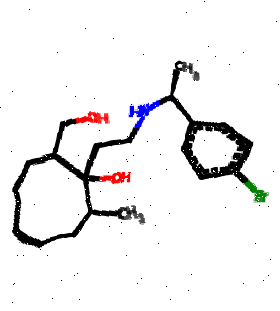 CC1CCCCCC(CO)C1(O)CCN[C@@H](C)c1ccc(Br)cc1